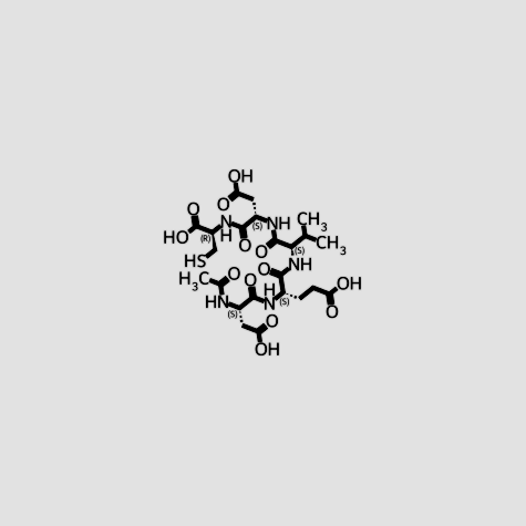 CC(=O)N[C@@H](CC(=O)O)C(=O)N[C@@H](CCC(=O)O)C(=O)N[C@H](C(=O)N[C@@H](CC(=O)O)C(=O)N[C@@H](CS)C(=O)O)C(C)C